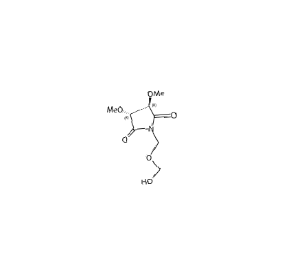 CO[C@H]1C(=O)N(COCO)C(=O)[C@@H]1OC